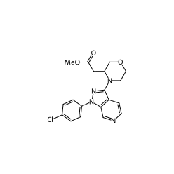 COC(=O)CC1COCCN1c1nn(-c2ccc(Cl)cc2)c2cnccc12